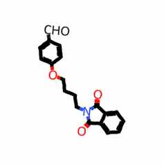 O=Cc1ccc(OCCCCN2C(=O)c3ccccc3C2=O)cc1